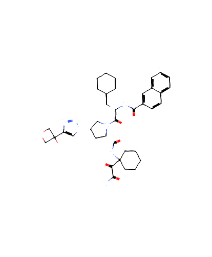 NC(=O)C(=O)C1(NC(=O)[C@@H]2C[C@H](n3cc(C4(O)COC4)nn3)CN2C(=O)[C@@H](CC2CCCCC2)NC(=O)c2ccc3ccccc3c2)CCCCC1